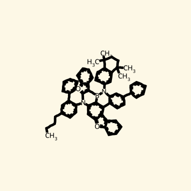 CCCCc1ccc(N2c3cc4oc5ccccc5c4c4c3B(c3c2oc2ccccc32)N(c2ccc3c(c2)C(C)(C)CCC3(C)C)c2cc(-c3ccccc3)ccc2-4)c(-c2ccccc2)c1